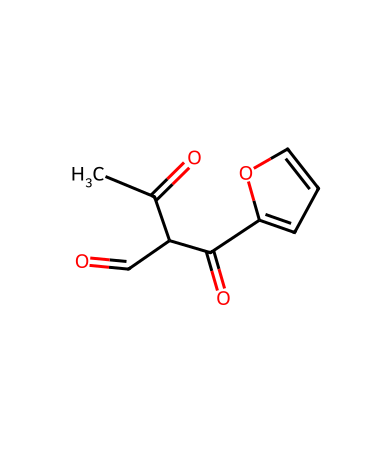 CC(=O)C(C=O)C(=O)c1ccco1